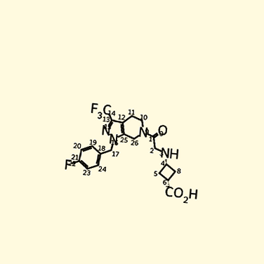 O=C(CN[C@H]1C[C@@H](C(=O)O)C1)N1CCc2c(C(F)(F)F)nn(Cc3ccc(F)cc3)c2C1